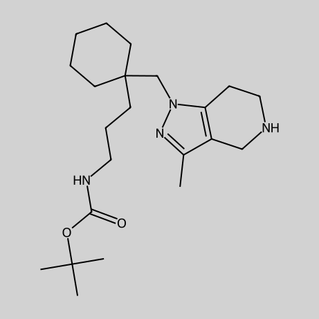 Cc1nn(CC2(CCCNC(=O)OC(C)(C)C)CCCCC2)c2c1CNCC2